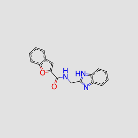 O=C(NCc1nc2ccccc2[nH]1)c1cc2ccccc2o1